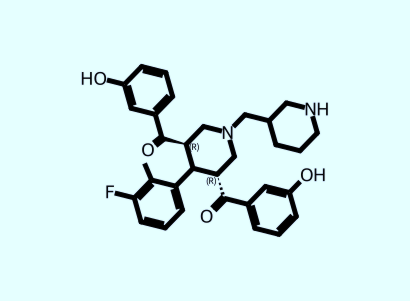 Cc1c(F)cccc1C1[C@@H](C(=O)c2cccc(O)c2)CN(CC2CCCNC2)C[C@@H]1C(=O)c1cccc(O)c1